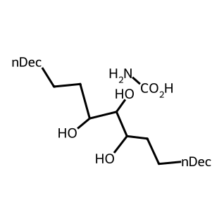 CCCCCCCCCCCCC(O)C(O)C(O)CCCCCCCCCCCC.NC(=O)O